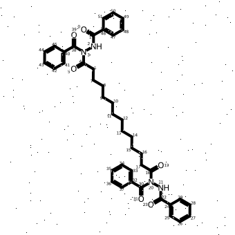 O=C(NN(C(=O)CCCCCCCCCCCCC(=O)N(NC(=O)c1ccccc1)C(=O)c1ccccc1)C(=O)c1ccccc1)c1ccccc1